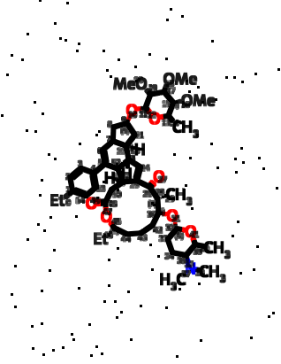 CCc1ccc(C2=CC3C[C@@H](O[C@@H]4OC(C)[C@H](OC)C(OC)C4OC)C[C@H]3[C@@H]3C=C4C(=O)[C@H](C)[C@@H](O[C@H]5CC[C@H](N(C)C)C(C)O5)CCC[C@H](CC)OC(=O)C[C@H]4C23)cc1